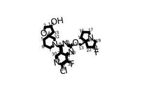 OC1COC2(CCCN(c3nc(OC[C@@]45CCCN4C[C@H](F)C5)nc4c(F)c(Cl)ncc34)C2)C1